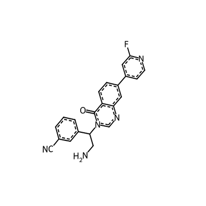 N#Cc1cccc(C(CN)n2cnc3cc(-c4ccnc(F)c4)ccc3c2=O)c1